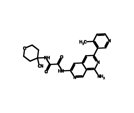 Cc1ccncc1-c1cc2cc(NC(=O)C(=O)NC3(C#N)CCOCC3)ncc2c(N)n1